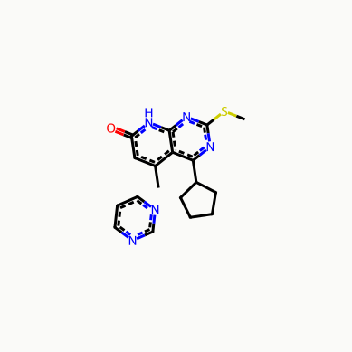 CSc1nc(C2CCCC2)c2c(C)cc(=O)[nH]c2n1.c1cncnc1